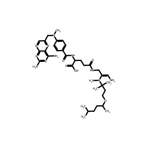 CC(C)CCC(C)OCCC(C)(C)N(N)/C(=C\N)CNC(=O)CCC(NC(=O)c1ccc(N(C)Cc2cnc3nc(N)nc(N)c3n2)cc1)C(=O)O